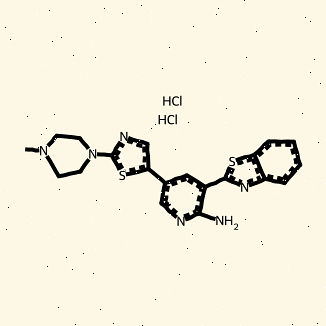 CN1CCN(c2ncc(-c3cnc(N)c(-c4nc5ccccc5s4)c3)s2)CC1.Cl.Cl